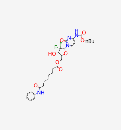 CCCCOC(=O)Nc1ccn(C2OC(COC(=O)CCCCCCC(=O)Nc3ccccc3)C(O)C2(F)F)c(=O)n1